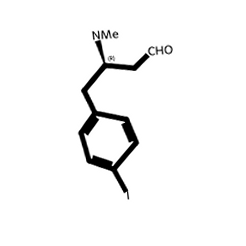 CN[C@@H](CC=O)Cc1ccc(I)cc1